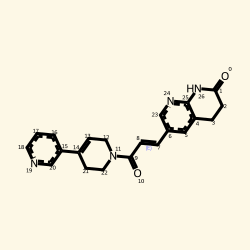 O=C1CCc2cc(/C=C/C(=O)N3CC=C(c4cccnc4)CC3)cnc2N1